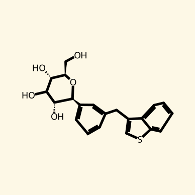 OC[C@H]1O[C@@H](c2cccc(Cc3csc4ccccc34)c2)[C@H](O)C(O)[C@@H]1O